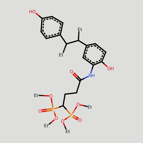 CCOP(=O)(OCC)C(CCC(=O)Nc1cc(C(CC)C(CC)c2ccc(O)cc2)ccc1O)P(=O)(OCC)OCC